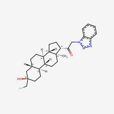 C[C@]12CC[C@H]3[C@@H](CC[C@H]4C[C@@](O)(CF)CC[C@@H]43)[C@@H]1CC[C@@H]2C(=O)Cn1nnc2ccccc21